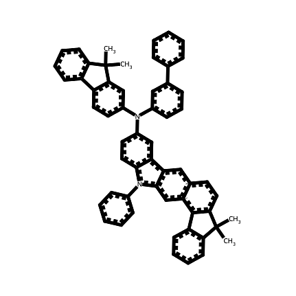 CC1(C)c2ccccc2-c2ccc(N(c3cccc(-c4ccccc4)c3)c3ccc4c(c3)c3cc5ccc6c(c5cc3n4-c3ccccc3)-c3ccccc3C6(C)C)cc21